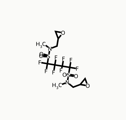 CN(CC1CO1)S(=O)(=O)C(F)(F)C(F)(F)C(F)(F)C(F)(F)S(=O)(=O)N(C)CC1CO1